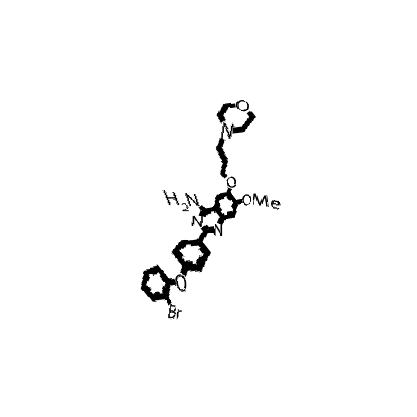 COc1cc2nc(-c3ccc(Oc4ccccc4Br)cc3)nc(N)c2cc1OCCCN1CCOCC1